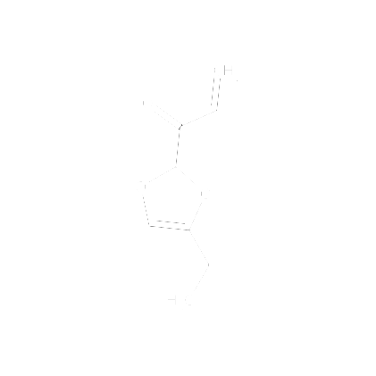 C=CC(=O)C1OC=C(CC)O1